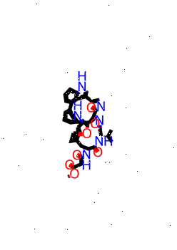 COC(=O)CC(=O)N[C@H]1Cc2ccc3c(c2)[C@]24c5cccc(c5NC2O3)-c2cccc3[nH]cc(c23)-c2cnc(o2)-c2nc(oc24)[C@H](C(C)C)NC1=O